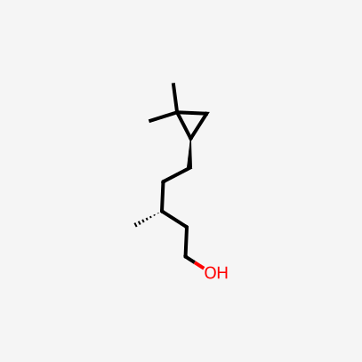 C[C@@H](CCO)CC[C@@H]1CC1(C)C